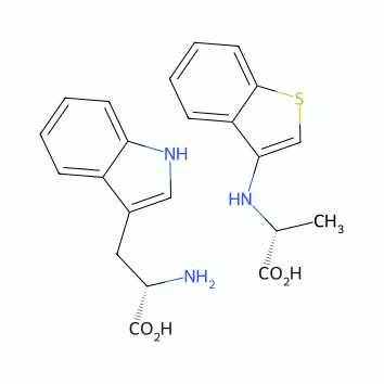 C[C@@H](Nc1csc2ccccc12)C(=O)O.N[C@@H](Cc1c[nH]c2ccccc12)C(=O)O